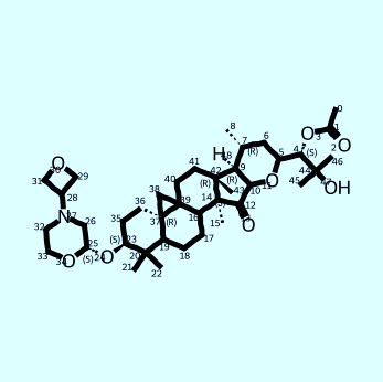 CC(=O)O[C@@H](C1C[C@@H](C)[C@H]2C(O1)C(=O)[C@@]1(C)C3CCC4C(C)(C)[C@@H](O[C@H]5CN(C6COC6)CCO5)CC[C@@]45CC35CC[C@]21C)C(C)(C)O